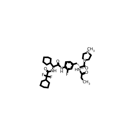 CCC(=O)N[C@H](Cc1ccc(NC(=O)[C@@H](NC(=O)C(F)(F)C2CCCCC2)C2CCCCC2)c(F)c1)C(=O)N1CCN(C)CC1